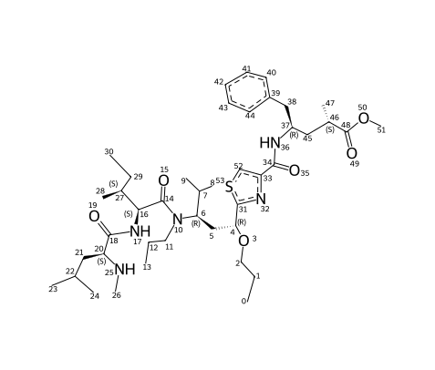 CCCO[C@H](C[C@H](C(C)C)N(CCC)C(=O)[C@@H](NC(=O)[C@H](CC(C)C)NC)[C@@H](C)CC)c1nc(C(=O)N[C@@H](Cc2ccccc2)C[C@H](C)C(=O)OC)cs1